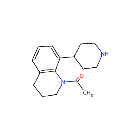 CC(=O)N1CCCc2cccc(C3CCNCC3)c21